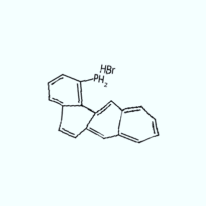 Br.Pc1cccc2ccc3cc4ccccc4cc3c12